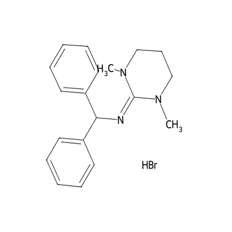 Br.CN1CCCN(C)C1=NC(c1ccccc1)c1ccccc1